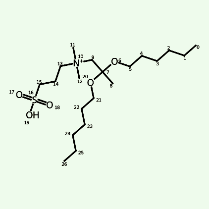 CCCCCCOC(C)(C[N+](C)(C)CCCS(=O)(=O)O)OCCCCCC